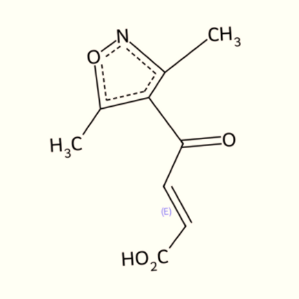 Cc1noc(C)c1C(=O)/C=C/C(=O)O